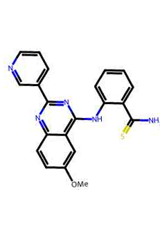 COc1ccc2nc(-c3cccnc3)nc(Nc3ccccc3C(N)=S)c2c1